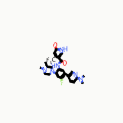 CC1CN(c2cc(F)c(-c3ccc(N(C)C)nc3)cc2NC(=O)c2c[nH]c(=O)cc2C(F)(F)F)CCN1C